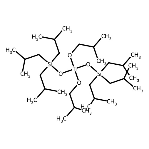 CC(C)C[O][Ti]([O]CC(C)C)([O][Si](CC(C)C)(CC(C)C)CC(C)C)[O][Si](CC(C)C)(CC(C)C)CC(C)C